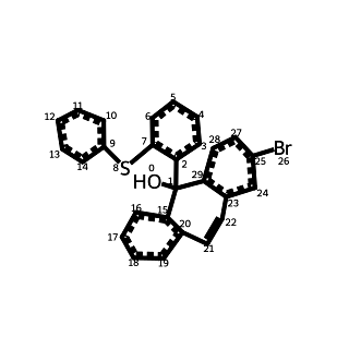 OC1(c2ccccc2Sc2ccccc2)c2ccccc2C=Cc2cc(Br)ccc21